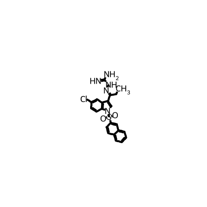 CCC(=NNC(=N)N)c1cn(S(=O)(=O)c2ccc3ccccc3c2)c2ccc(Cl)cc12